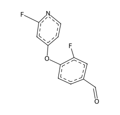 O=Cc1ccc(Oc2ccnc(F)c2)c(F)c1